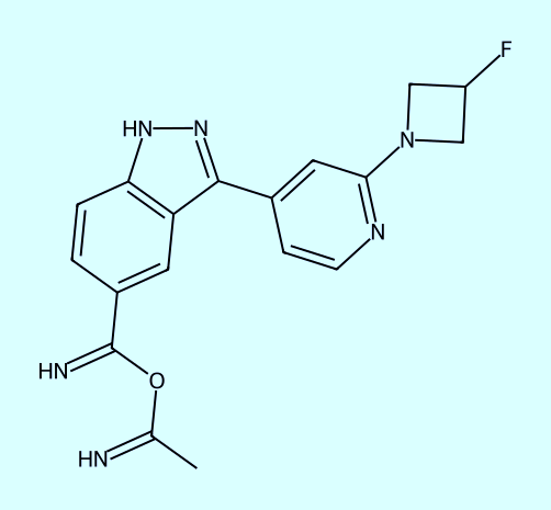 CC(=N)OC(=N)c1ccc2[nH]nc(-c3ccnc(N4CC(F)C4)c3)c2c1